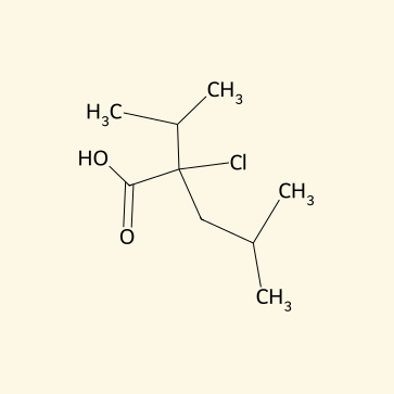 CC(C)CC(Cl)(C(=O)O)C(C)C